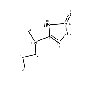 CCCN(C)C1=NOS(=O)N1